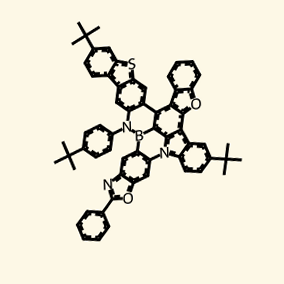 CC(C)(C)c1ccc(N2B3c4cc5nc(-c6ccccc6)oc5cc4-n4c5ccc(C(C)(C)C)cc5c5c6oc7ccccc7c6c(c3c54)-c3cc4sc5cc(C(C)(C)C)ccc5c4cc32)cc1